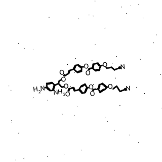 N#CCCCOc1ccc(C(=O)Oc2ccc(/C=C/C(=O)OCC(COC(=O)/C=C/c3ccc(OC(=O)c4ccc(OCCCC#N)cc4)cc3)c3ccc(N)cc3N)cc2)cc1